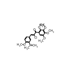 COc1ccc(C=C(Cl)C(=O)c2cc(OC)c(OC)c(OC)c2OC)cc1N(C)C